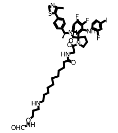 Cc1ncsc1-c1ccc([C@H](C)NC(=O)C2(c3ccc(F)c(F)c3Nc3ccc(I)cc3F)CCCN2C(=O)CNC(=O)CCCCCCCCCCNCCCONC=O)cc1